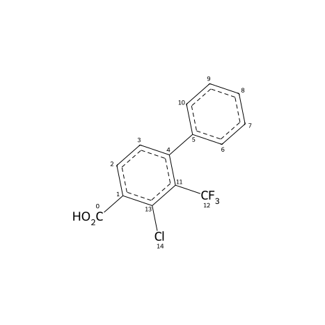 O=C(O)c1ccc(-c2ccccc2)c(C(F)(F)F)c1Cl